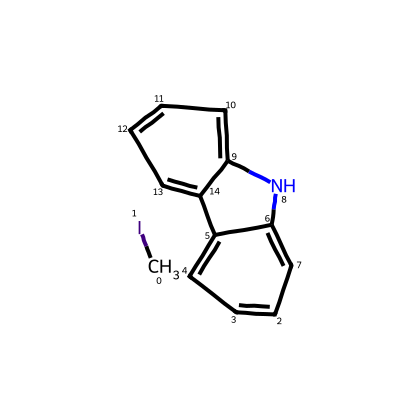 CI.c1ccc2c(c1)[nH]c1ccccc12